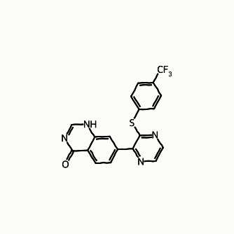 O=c1nc[nH]c2cc(-c3nccnc3Sc3ccc(C(F)(F)F)cc3)ccc12